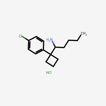 CCCCC(N)C1(c2ccc(Cl)cc2)CCC1.Cl